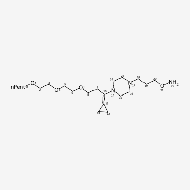 CCCCCOCCOCCOCCC(=C1CC1)N1CCN(CCCON)CC1